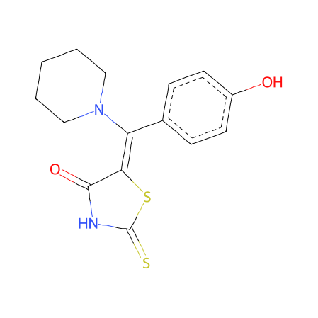 O=C1NC(=S)S/C1=C(\c1ccc(O)cc1)N1CCCCC1